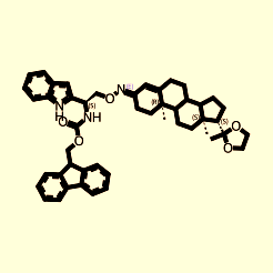 CC1([C@H]2CCC3C4CCC5=C/C(=N/OC[C@@H](NC(=O)OCC6c7ccccc7-c7ccccc76)c6cc7ccccc7[nH]6)CC[C@]5(C)C4CC[C@@]32C)OCCO1